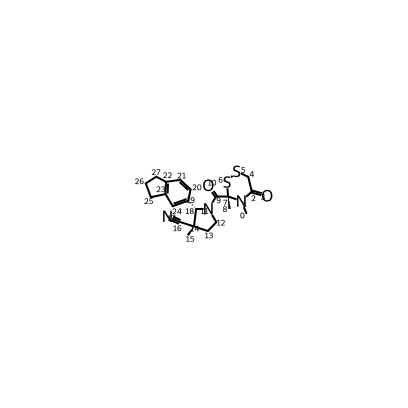 CN1C(=O)CSS[C@@]1(C)C(=O)N1CC[C@](C)(C#N)[C@@H]1c1ccc2c(c1)CCC2